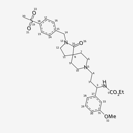 CCOC(=O)NC(CCN1CCC2(CC1)CCN(Cc1ccc(S(C)(=O)=O)cc1)C2=O)c1cccc(OC)c1